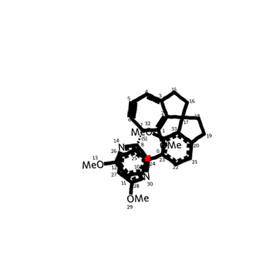 COC1=C2C(=CC#C[C@H]1c1cccc(OC)n1)CCC21CCc2ccc(-c3cccc(OC)n3)c(OC)c21